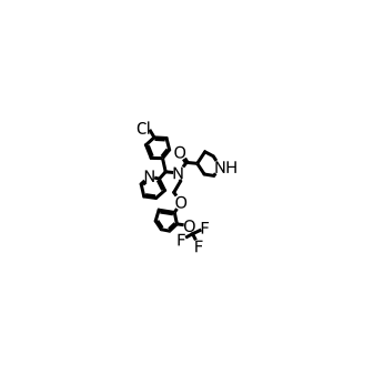 O=C(C1CCNCC1)N(CCOc1ccccc1OC(F)(F)F)C(c1ccc(Cl)cc1)c1ccccn1